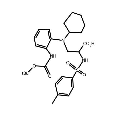 Cc1ccc(S(=O)(=O)NC(CN(c2ccccc2NC(=O)OC(C)(C)C)C2CCCCC2)C(=O)O)cc1